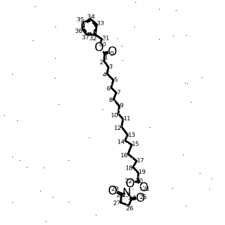 O=C(CCCCCCCCCCCCCCCCCCC(=O)ON1C(=O)CCC1=O)OCc1ccccc1